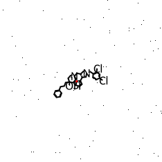 OC1(CCCc2ccccc2)CCN(CC2CN(Cc3ccc(Cl)cc3Cl)CC2c2ccsc2)CC1